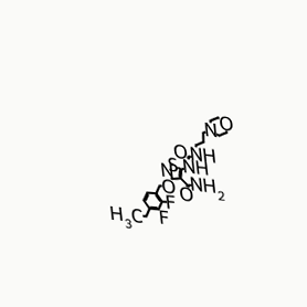 CCc1ccc(COc2nsc(NC(=O)NCCCN3CCOCC3)c2C(N)=O)c(F)c1F